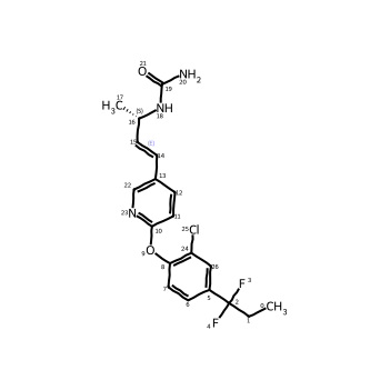 CCC(F)(F)c1ccc(Oc2ccc(/C=C/[C@H](C)NC(N)=O)cn2)c(Cl)c1